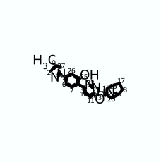 Cc1cnn(-c2ccc(-c3ccc(OC4CC5CCC(C4)N5)nn3)c(O)c2)c1